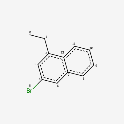 CCc1cc(Br)cc2ccccc12